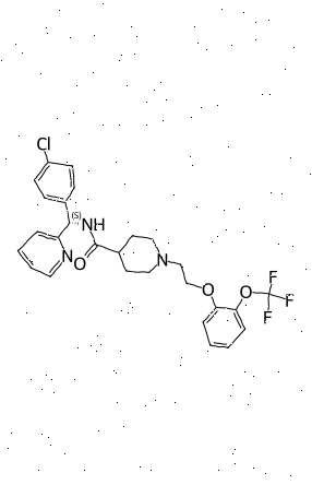 O=C(N[C@@H](c1ccc(Cl)cc1)c1ccccn1)C1CCN(CCOc2ccccc2OC(F)(F)F)CC1